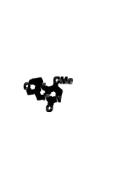 COc1cnc(=O)n2c1N1CC3CC1(CO3)C2